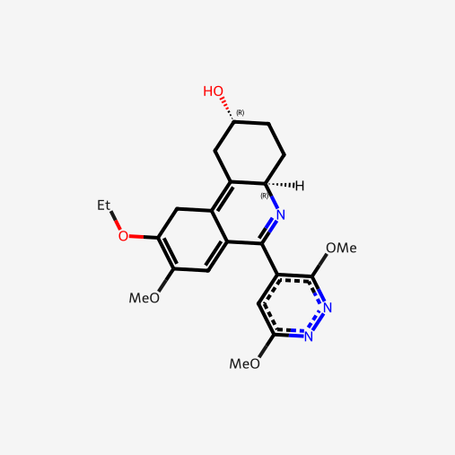 CCOC1=C(OC)C=C2C(c3cc(OC)nnc3OC)=N[C@@H]3CC[C@@H](O)CC3=C2C1